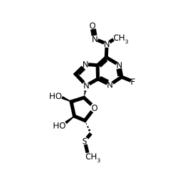 CSC[C@H]1O[C@@H](n2cnc3c(N(C)N=O)nc(F)nc32)[C@H](O)[C@@H]1O